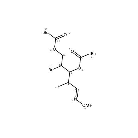 CON=CC(F)C(OC(=O)C(C)(C)C)C(Br)COC(=O)C(C)(C)C